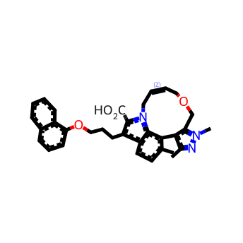 Cc1ccc2c(CCCOc3cccc4ccccc34)c(C(=O)O)n3c2c1-c1c(C)nn(C)c1COC/C=C\C3